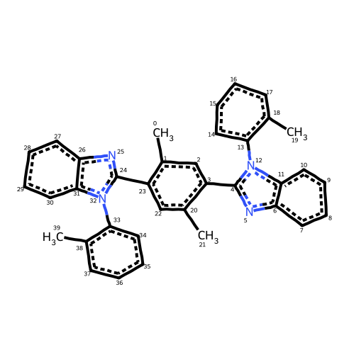 Cc1cc(-c2nc3ccccc3n2-c2ccccc2C)c(C)cc1-c1nc2ccccc2n1-c1ccccc1C